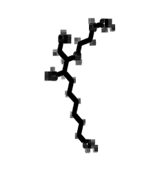 CCCCCCCC(O)C(CO)OCCOC